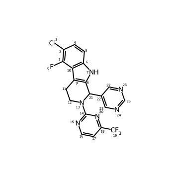 Fc1c(Cl)ccc2[nH]c3c(c12)CCN(c1nccc(C(F)(F)F)n1)C3c1cncnc1